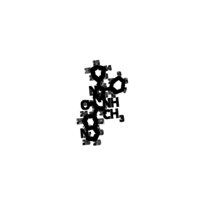 Cc1[nH]c2c(C3=CCCCC3)c(-c3ccccc3)nn2c(=O)c1-c1ccc2ncccc2c1